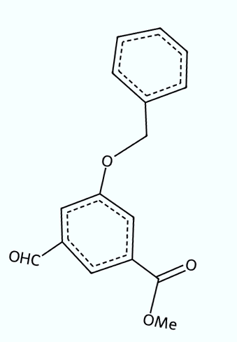 COC(=O)c1cc(C=O)cc(OCc2ccccc2)c1